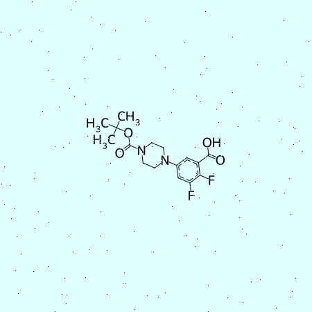 CC(C)(C)OC(=O)N1CCN(c2cc(F)c(F)c(C(=O)O)c2)CC1